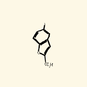 O=C(O)c1cc2cc(I)ccc2o1